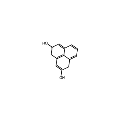 OC1=CC2=c3c(cccc3=CN(O)C2)C1